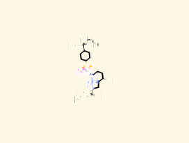 CC(C)(C)c1ccc(S(=O)(=O)Nc2ccc(Cl)c3cc(C(C)(C)C)nn23)cc1